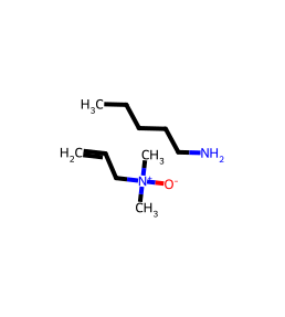 C=CC[N+](C)(C)[O-].CCCCCN